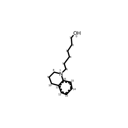 OCCCCCCN1CCCc2ccccc21